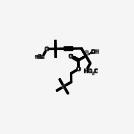 CCCCOC(C)(C)C#CC[C@@](O)(CC(=O)O)C(=O)OCC[Si](C)(C)C